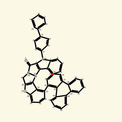 O=c1c2c(c3ccccc3n2-c2ccc(-c3ccccc3)cc2)n2n1Cc1oc3cccc(-c4cccc5c6ccccc6c6ccccc6c45)c3c1-2